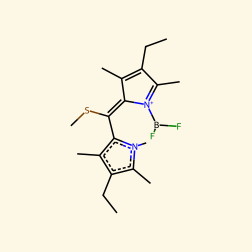 CCC1=C(C)/C(=C(\SC)c2c(C)c(CC)c(C)n2C)[N+](B(F)F)=C1C